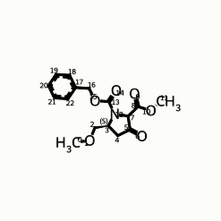 COC[C@@H]1CC(=O)C(C(=O)OC)N1C(=O)OCc1ccccc1